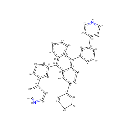 C1=CC(c2ccc3c(-c4cccc(-c5ccncc5)c4)c4ccccc4c(-c4cccc(-c5ccncc5)c4)c3c2)=CCC1